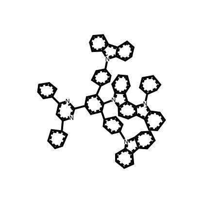 c1ccc(-c2cc(-c3ccccc3)nc(-c3cc(-c4ccc(-n5c6ccccc6c6ccccc65)cc4)c(-n4c5ccccc5c5c4ccc4c6ccccc6n(-c6ccccc6)c45)c(-c4ccc(-n5c6ccccc6c6ccccc65)cc4)c3)n2)cc1